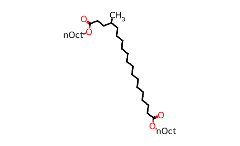 CCCCCCCCOC(=O)CCCCCCCCCCCCCCC(C)CCC(=O)OCCCCCCCC